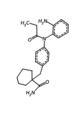 CCC(=O)N(c1ccc(CC2(C(N)=O)CCCCC2)cc1)c1ccccc1N